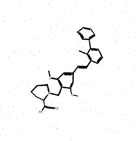 COc1cc(/C=C/c2cccc(-c3ccccc3)c2C)cc(OC)c1CN1CCCCC1C(=O)O